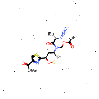 CCCC(=O)OCN(C(=O)[C@@H](N=[N+]=[N-])[C@@H](C)CC)[C@H](C[C@@H](OS)c1nc(C(=O)OC)cs1)C(C)C